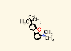 CN(C)c1cccc2c1oc1cc(C(C)(C)C)ccc12